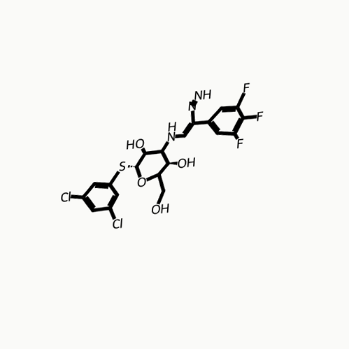 N=N/C(=C\NC1C(O)[C@@H](Sc2cc(Cl)cc(Cl)c2)OC(CO)[C@@H]1O)c1cc(F)c(F)c(F)c1